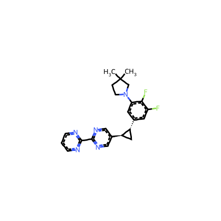 CC1(C)CCN(c2cc([C@@H]3C[C@H]3c3cnc(-c4ncccn4)nc3)cc(F)c2F)C1